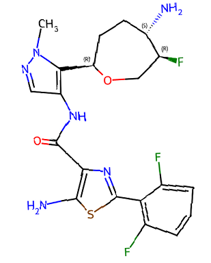 Cn1ncc(NC(=O)c2nc(-c3c(F)cccc3F)sc2N)c1[C@H]1CC[C@H](N)[C@@H](F)CO1